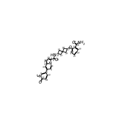 Cn1cc(-c2ccn3c(C(=O)N[C@H]4CC5(C4)C[C@H](Oc4ncccc4C(N)=O)C5)cnc3c2)ccc1=O